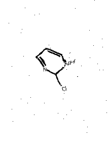 ClC1N=CC=CN1